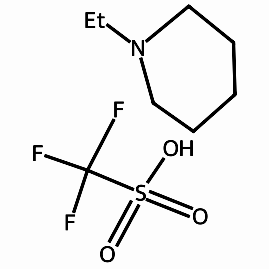 CCN1CCCCC1.O=S(=O)(O)C(F)(F)F